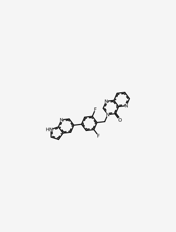 O=c1c2ncccc2ncn1Cc1c(F)cc(-c2cnc3[nH]ccc3c2)cc1F